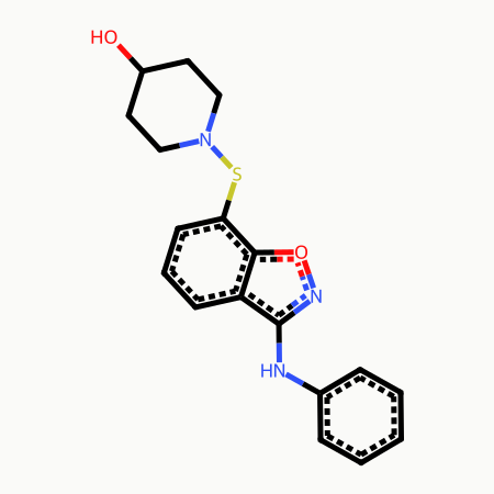 OC1CCN(Sc2cccc3c(Nc4ccccc4)noc23)CC1